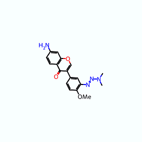 COc1ccc(-c2coc3cc(N)ccc3c2=O)cc1N=NN(C)C